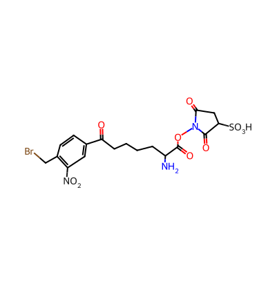 NC(CCCCC(=O)c1ccc(CBr)c([N+](=O)[O-])c1)C(=O)ON1C(=O)CC(S(=O)(=O)O)C1=O